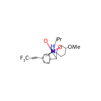 COC1CCC2(CC1)Cc1ccc(C#CC(F)(F)F)cc1C21NC(=O)N(C(C)C)C1=O